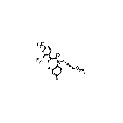 O=C1C(c2ccc(C(F)(F)F)cc2C(F)(F)F)CCc2cc(F)ccc2N1CC#CCOC(F)(F)F